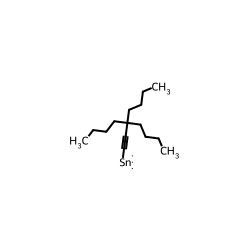 CCCCC(C#[C][Sn])(CCCC)CCCC